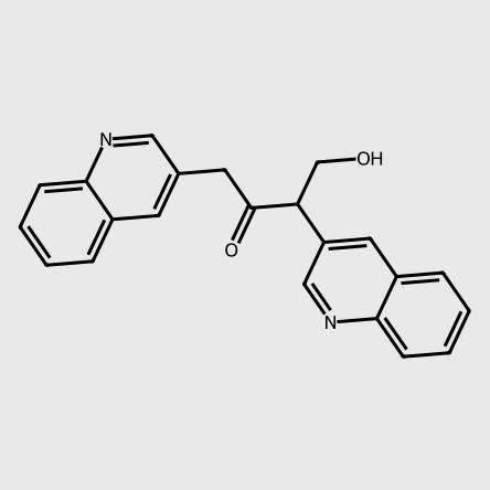 O=C(Cc1cnc2ccccc2c1)C(CO)c1cnc2ccccc2c1